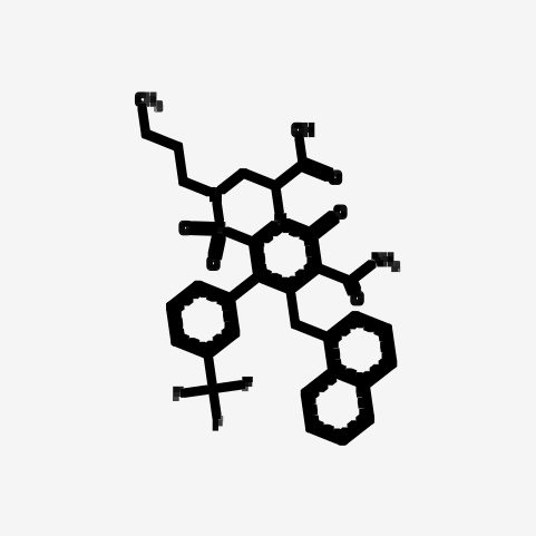 CCCCN1CC(C(=O)O)n2c(c(-c3cccc(C(F)(F)F)c3)c(Cc3cccc4ccccc34)c(C(N)=O)c2=O)S1(=O)=O